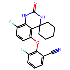 N#Cc1cccc(F)c1Oc1ccc(F)c2c1C1(CCCCC1)NC(=O)N2